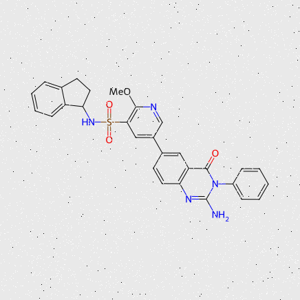 COc1ncc(-c2ccc3nc(N)n(-c4ccccc4)c(=O)c3c2)cc1S(=O)(=O)NC1CCc2ccccc21